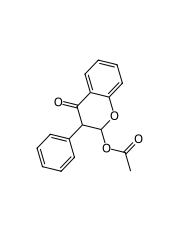 CC(=O)OC1Oc2ccccc2C(=O)C1c1ccccc1